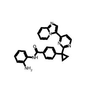 Nc1ccccc1NC(=O)c1ccc(C2(c3nccc(-c4cnc5ccccn45)n3)CC2)cc1